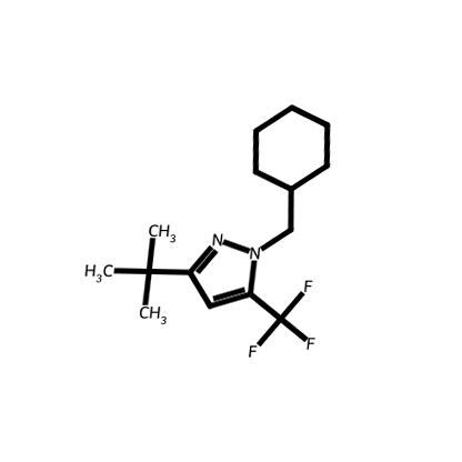 CC(C)(C)c1cc(C(F)(F)F)n(CC2CCCCC2)n1